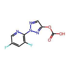 O=C(O)Oc1cnn(-c2ncc(F)cc2F)n1